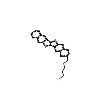 CCCCCCc1ccc2cc3sc4c5cc6ccccc6cc5sc4c3cc2c1